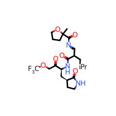 CC(C)CC(/C=N/C(=O)C1(C)CCCO1)C(=O)N[C@@H](C[C@@H]1CCNC1=O)C(=O)COC(F)(F)F